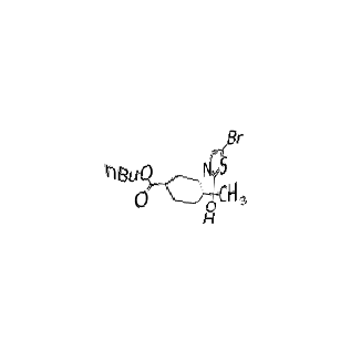 CCCCOC(=O)[C@H]1CC[C@H]([C@@](C)(O)c2ncc(Br)s2)CC1